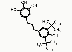 CC(C)(C)c1cc(CCCc2cc(O)c(O)c(O)c2)cc(C(C)(C)C)c1O